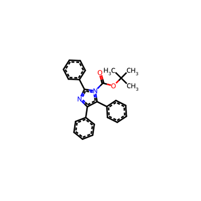 CC(C)(C)OC(=O)n1c(-c2ccccc2)nc(-c2ccccc2)c1-c1ccccc1